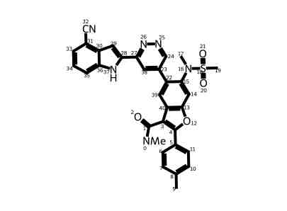 CNC(=O)c1c(-c2ccc(C)cc2)oc2cc(N(C)S(C)(=O)=O)c(-c3cnnc(-c4cc5c(C#N)cccc5[nH]4)c3)cc12